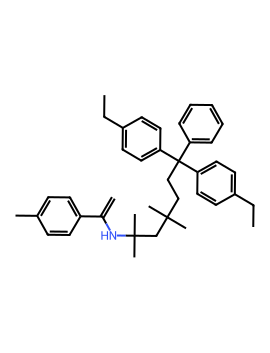 C=C(NC(C)(C)CC(C)(C)CCC(c1ccccc1)(c1ccc(CC)cc1)c1ccc(CC)cc1)c1ccc(C)cc1